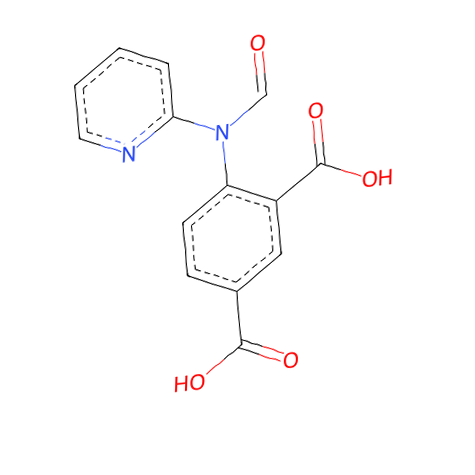 O=CN(c1ccccn1)c1ccc(C(=O)O)cc1C(=O)O